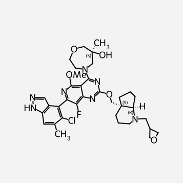 COc1nc(-c2c(Cl)c(C)cc3[nH]ncc23)c(F)c2nc(OC[C@]34CCC[C@H]3N(CC3COC3)CCC4)nc(N3CCOC[C@@](C)(O)C3)c12